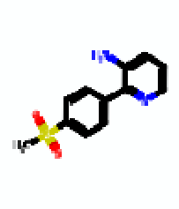 CS(=O)(=O)c1ccc(-c2ncccc2N)cc1